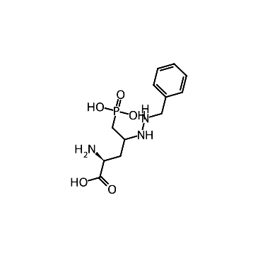 N[C@@H](CC(CP(=O)(O)O)NNCc1ccccc1)C(=O)O